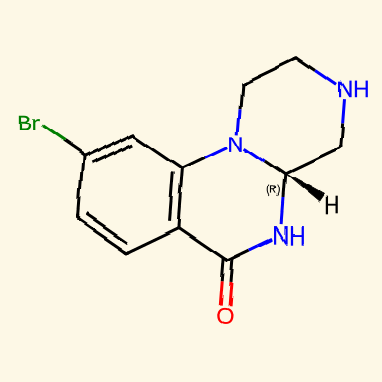 O=C1N[C@H]2CNCCN2c2cc(Br)ccc21